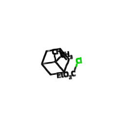 CC1(C)C2C=CCC1C2.CCOC(=O)Cl